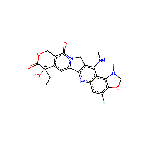 CC[C@@]1(O)C(=O)OCc2c1cc1n(c2=O)Cc2c-1nc1cc(F)c3c(c1c2NC)N(C)CO3